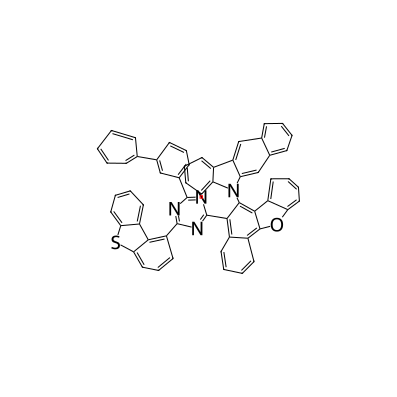 c1ccc(-c2cccc(-c3nc(-c4c(-n5c6ccccc6c6cc7ccccc7cc65)c5c6ccccc6oc5c5ccccc45)nc(-c4cccc5sc6ccccc6c45)n3)c2)cc1